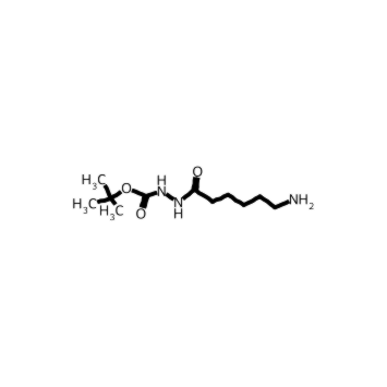 CC(C)(C)OC(=O)NNC(=O)CCCCCN